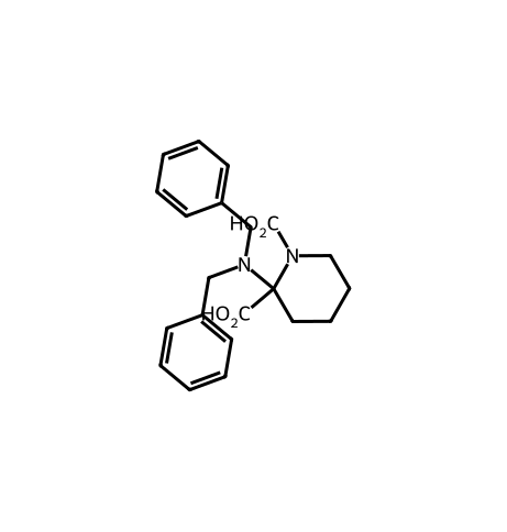 O=C(O)N1CCCCC1(C(=O)O)N(Cc1ccccc1)Cc1ccccc1